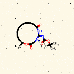 CC1CCCCCCCCC(=O)N/C(=N/C(=O)OC(C)(C)C)N(C)CC(=O)O1